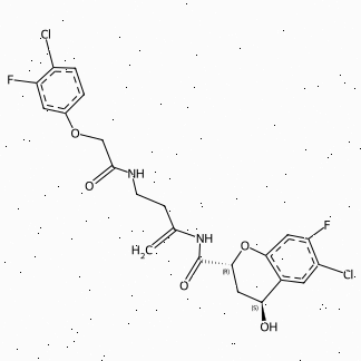 C=C(CCNC(=O)COc1ccc(Cl)c(F)c1)NC(=O)[C@H]1C[C@H](O)c2cc(Cl)c(F)cc2O1